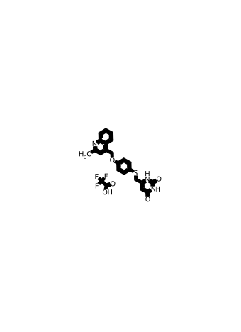 Cc1cc(COc2ccc(SCc3cc(=O)[nH]c(=O)[nH]3)cc2)c2ccccc2n1.O=C(O)C(F)(F)F